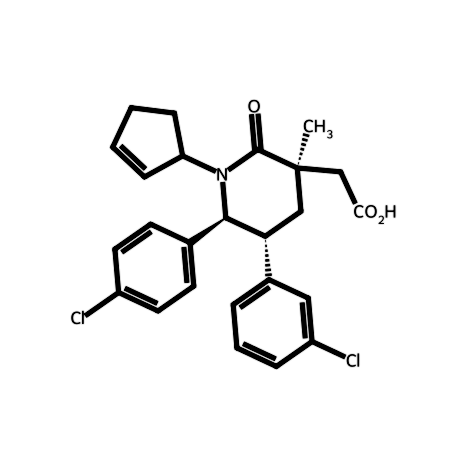 C[C@]1(CC(=O)O)C[C@H](c2cccc(Cl)c2)[C@@H](c2ccc(Cl)cc2)N(C2C=CCC2)C1=O